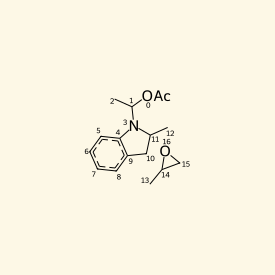 CC(=O)OC(C)N1c2ccccc2CC1C.CC1CO1